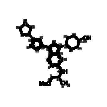 COC[C@H](C)Nc1ncc2c(-c3cnn([C@H]4CCOC4)c3)cc([C@H]3CC[C@H](O)CC3)n2n1